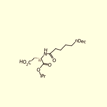 CCCCCCCCCCCCCCC(=O)N[C@@H](CC(=O)O)C(=O)OC(C)C